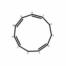 [C]1=C/C/C=C\CC\C=C/C=C\1